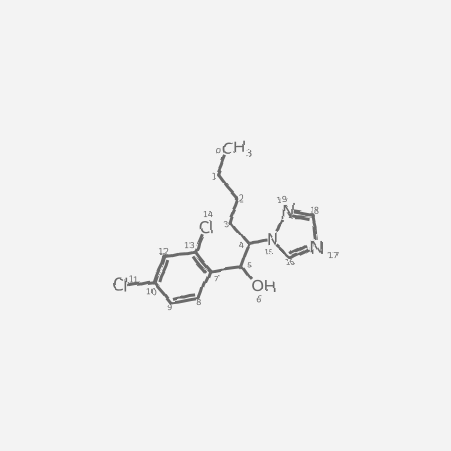 CCCCC(C(O)c1ccc(Cl)cc1Cl)n1cncn1